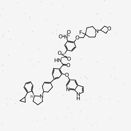 O=C(NS(=O)(=O)c1ccc(OCC2(F)CCN(C3COC3)CC2)c([N+](=O)[O-])c1)c1ccc(C2=CCC(N3CCC[C@H]3c3ccccc3C3CC3)CC2)cc1Oc1cnc2[nH]ccc2c1